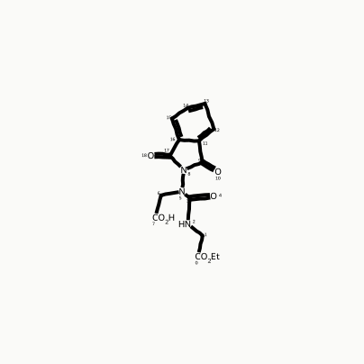 CCOC(=O)CNC(=O)N(CC(=O)O)N1C(=O)c2ccccc2C1=O